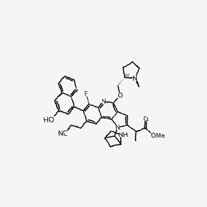 COC(=O)C(C)c1cc2c(OC[C@@H]3CCCN3C)nc3c(F)c(-c4cc(O)cc5ccccc45)c(CCC#N)cc3c2n1C1C2CNC1C2